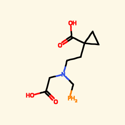 O=C(O)CN(CP)CCC1(C(=O)O)CC1